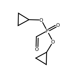 O=CP(=O)(OC1CC1)OC1CC1